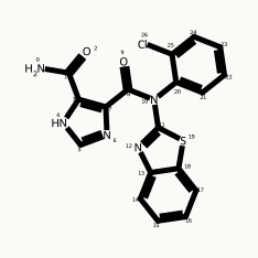 NC(=O)c1[nH]cnc1C(=O)N(c1nc2ccccc2s1)c1ccccc1Cl